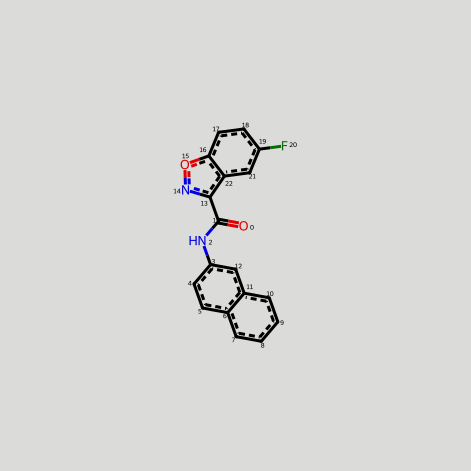 O=C(Nc1ccc2ccccc2c1)c1noc2ccc(F)cc12